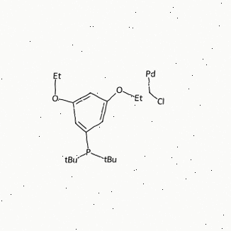 CCOc1cc(OCC)cc(P(C(C)(C)C)C(C)(C)C)c1.Cl[CH2][Pd]